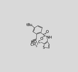 CC=Cc1cc(C(C)(C)C)ccc1S(=O)(=O)Nc1ccsc1C(=O)O